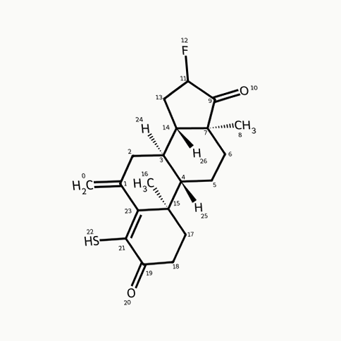 C=C1C[C@@H]2[C@H](CC[C@]3(C)C(=O)C(F)C[C@@H]23)[C@@]2(C)CCC(=O)C(S)=C12